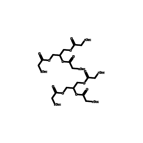 CCCCCCCCCCCC(=O)OCC(COC(=O)CCCCCCCCCCC)OC(=O)CCCCCCCCCCC.CCCCCCCCCCCC(=O)OCC(COC(=O)CCCCCCCCCCC)OC(=O)CCCCCCCCCCC